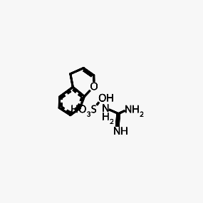 C1=COc2ccccc2C1.N=C(N)N.O=S(=O)(O)O